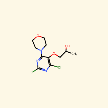 CC(O)COc1c(Cl)nc(Cl)nc1N1CCOCC1